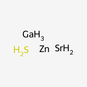 S.[GaH3].[SrH2].[Zn]